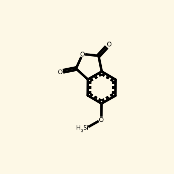 O=C1OC(=O)c2cc(O[SiH3])ccc21